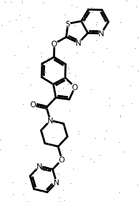 O=C(c1coc2cc(Oc3nc4ncccc4s3)ccc12)N1CCC(Oc2ncccn2)CC1